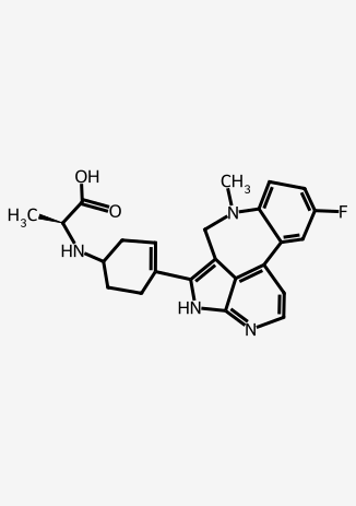 C[C@H](NC1CC=C(c2[nH]c3nccc4c3c2CN(C)c2ccc(F)cc2-4)CC1)C(=O)O